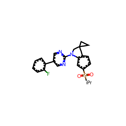 CC(C)S(=O)(=O)c1ccc2c(c1)N(c1ncc(-c3ccccc3F)cn1)CC21CC1